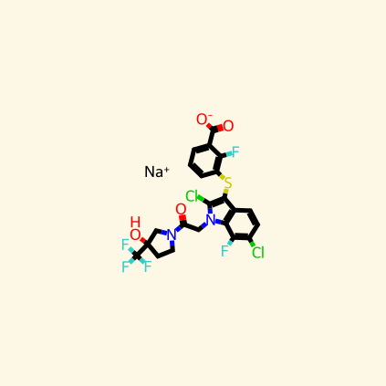 O=C([O-])c1cccc(Sc2c(Cl)n(CC(=O)N3CCC(O)(C(F)(F)F)C3)c3c(F)c(Cl)ccc23)c1F.[Na+]